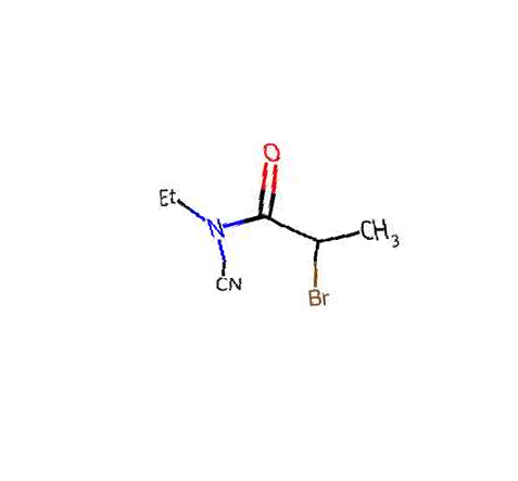 CCN(C#N)C(=O)C(C)Br